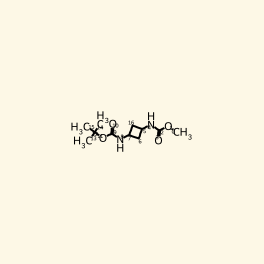 COC(=O)NC1CC(NC(=O)OC(C)(C)C)C1